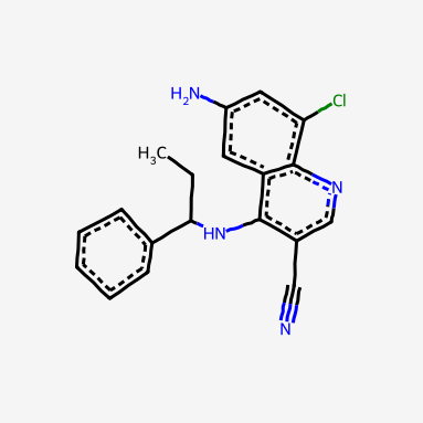 CCC(Nc1c(C#N)cnc2c(Cl)cc(N)cc12)c1ccccc1